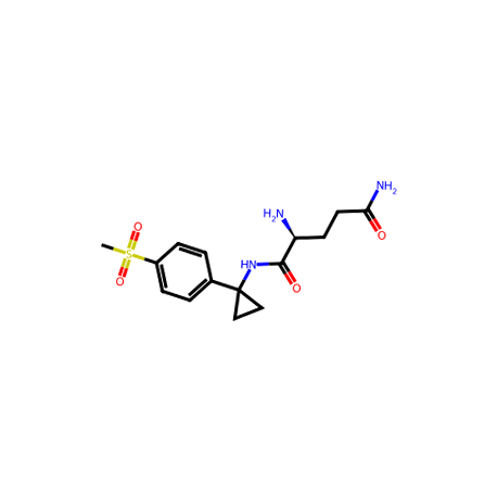 CS(=O)(=O)c1ccc(C2(NC(=O)[C@@H](N)CCC(N)=O)CC2)cc1